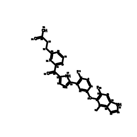 Cc1c(Oc2ccc(F)c(-c3ncc(C(=O)c4cccc(CCC(=O)O)n4)[nH]3)c2)c(F)cc2[nH]ccc12